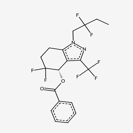 CCC(F)(F)Cn1nc(C(F)(F)F)c2c1CCC(F)(F)[C@H]2OC(=O)c1ccccc1